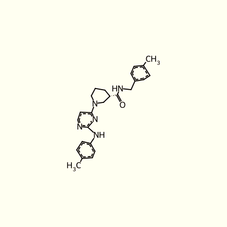 Cc1ccc(CNC(=O)[C@H]2CCCN(c3ccnc(Nc4ccc(C)cc4)n3)C2)cc1